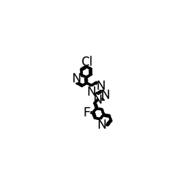 FC1=Cc2ncccc2CC1=Cn1cnc2ncc(-c3ccnc4cc(Cl)ccc34)nc21